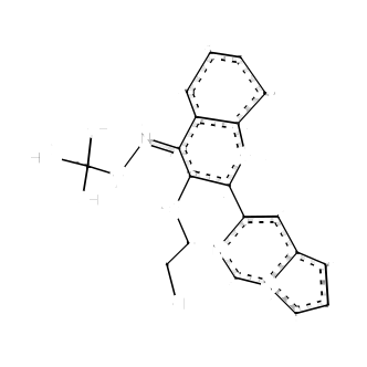 CC(C)(C)ON=c1c(OCCCl)c(-c2cc3cccn3cn2)oc2ccccc12